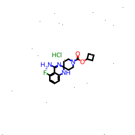 Cl.NC1=NC2(CCN(C(=O)OC3CCC3)CC2)Nc2cccc(F)c21